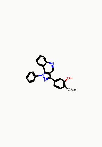 COc1ccc(-c2nn(-c3ccccc3)c3c2cnc2ccccc23)cc1O